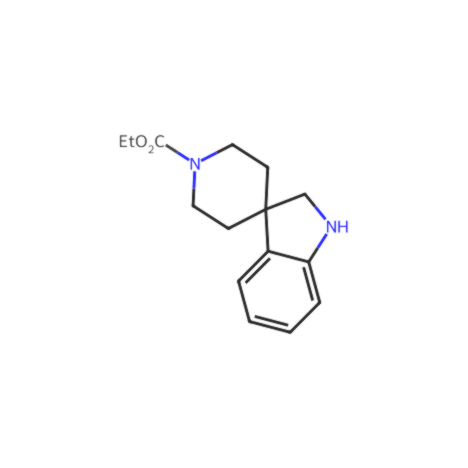 CCOC(=O)N1CCC2(CC1)CNc1ccccc12